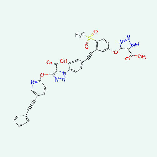 CS(=O)(=O)c1ccc(Oc2nn[nH]c2C(=O)O)cc1C#Cc1ccc(-n2nnc(Oc3ccc(C#Cc4ccccc4)cn3)c2C(=O)O)cc1